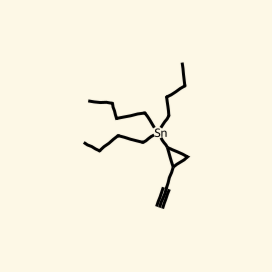 C#CC1C[CH]1[Sn]([CH2]CCC)([CH2]CCC)[CH2]CCC